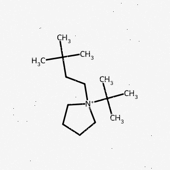 CC(C)(C)CC[N+]1(C(C)(C)C)CCCC1